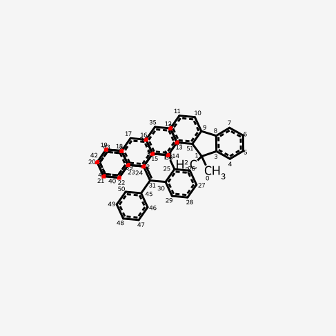 CC1(C)c2ccccc2-c2cccc(N(c3ccc4ccccc4c3)c3ccccc3C(=C(c3ccccc3)c3ccccc3)c3ccccc3)c21